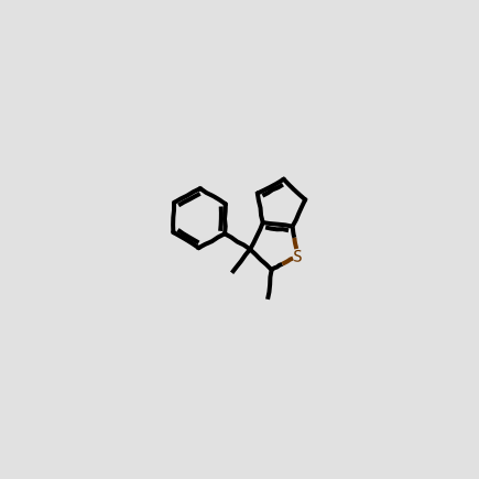 CC1SC2=C(C=CC2)C1(C)c1ccccc1